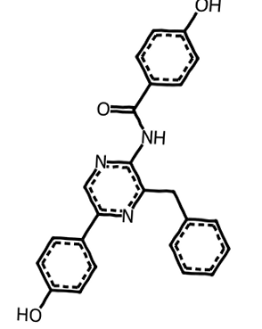 O=C(Nc1ncc(-c2ccc(O)cc2)nc1Cc1ccccc1)c1ccc(O)cc1